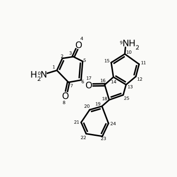 NC1=CC(=O)C=CC1=O.Nc1ccc2c(c1)C(=O)C(c1ccccc1)=C2